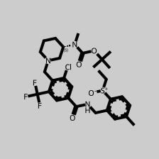 CC[S+]([O-])c1ccc(C)cc1CNC(=O)c1cc(Cl)c(CN2CCC[C@H](N(C)C(=O)OC(C)(C)C)C2)c(C(F)(F)F)c1